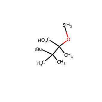 CC(C)(C)C(C)(C)C(C)(O[SiH3])C(=O)O